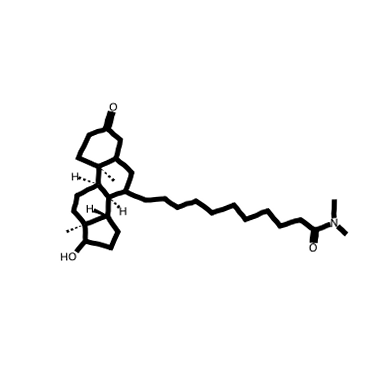 CN(C)C(=O)CCCCCCCCCCC1CC2CC(=O)CC[C@]2(C)[C@@H]2CC[C@]3(C)C(O)CC[C@H]3[C@H]12